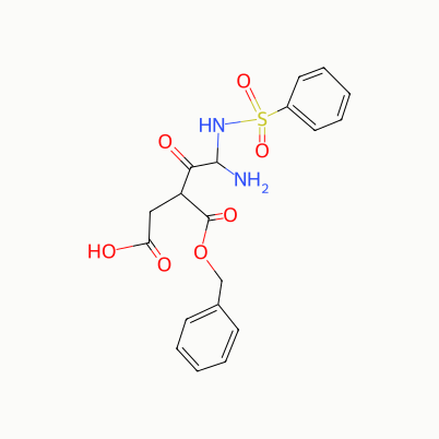 NC(NS(=O)(=O)c1ccccc1)C(=O)C(CC(=O)O)C(=O)OCc1ccccc1